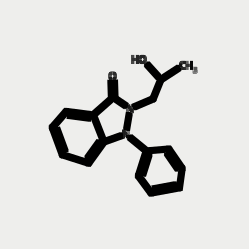 CC(O)Cn1c(=O)c2ccccc2n1-c1ccccc1